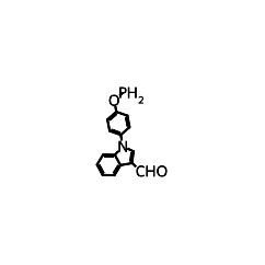 O=Cc1cn(-c2ccc(OP)cc2)c2ccccc12